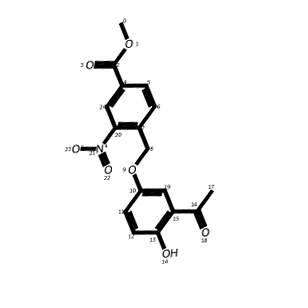 COC(=O)c1ccc(COc2ccc(O)c(C(C)=O)c2)c([N+](=O)[O-])c1